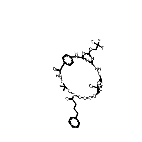 CC1(C)CNC(=O)c2ccc(cc2)Nc2nc(nc(OCC(F)(F)F)n2)NCc2ccc(c(Cl)c2)OCCCN(C(=O)CCCc2ccccc2)C1